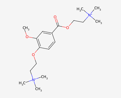 COc1cc(C(=O)OCC[N+](C)(C)C)ccc1OCC[N+](C)(C)C